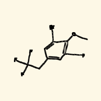 COc1c(F)cc(CC(F)(F)F)cc1Br